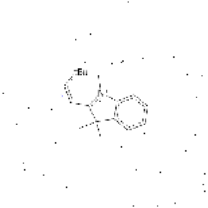 C[N+]1=C(/C=C\C(C)(C)C)C(C)(C)c2ccccc21